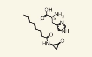 CCCCCCCC(=O)NC1CC1=O.N[C@@H](Cc1c[nH]cn1)C(=O)O